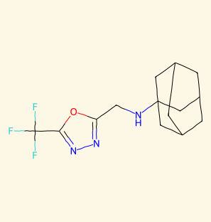 FC(F)(F)c1nnc(CNC23CC4CC(CC(C4)C2)C3)o1